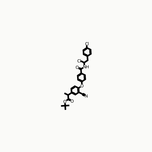 CC(C(=O)OC(C)(C)C)c1ccc(Oc2ccc(C(=O)NC(Cl)Cc3ccc(Cl)cc3)cc2)c(C#N)c1